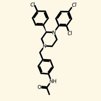 CC(=O)Nc1ccc(CN2CCN(c3ccc(Cl)cc3Cl)[C@H](c3ccc(Cl)cc3)C2)cc1